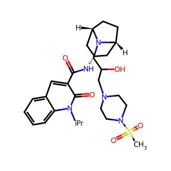 CC(C)n1c(=O)c(C(=O)N[C@H]2C[C@H]3CC[C@@H](C2)N3CC(O)CN2CCN(S(C)(=O)=O)CC2)cc2ccccc21